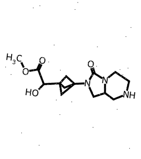 COC(=O)C(O)C12CC(N3CC4CNCCN4C3=O)(C1)C2